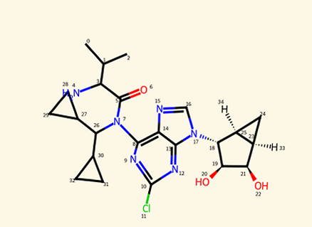 CC(C)C(N)C(=O)N(c1nc(Cl)nc2c1ncn2[C@H]1[C@H](O)[C@H](O)[C@@H]2C[C@@H]21)C(C1CC1)C1CC1